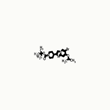 CC(C)Oc1cc2nc(C3CCN(C(=O)OC(C)(C)C)CC3)cn2cc1Br